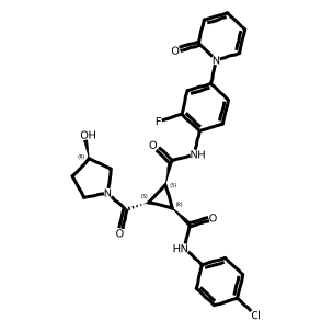 O=C(Nc1ccc(Cl)cc1)[C@@H]1[C@H](C(=O)Nc2ccc(-n3ccccc3=O)cc2F)[C@H]1C(=O)N1CC[C@@H](O)C1